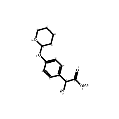 COC(=O)C(c1ccc(OC2CCCCO2)cc1)C(C)C